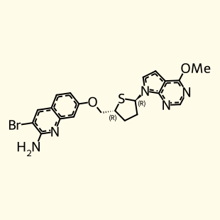 COc1ncnc2c1ccn2[C@H]1CC[C@H](COc2ccc3cc(Br)c(N)nc3c2)S1